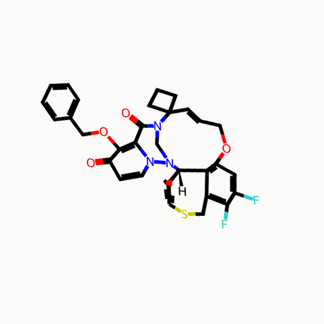 O=C1c2c(OCc3ccccc3)c(=O)ccn2N2CN1C1(/C=C/COc3cc(F)c(F)c4c3[C@@H]2c2ccccc2SC4)CCC1